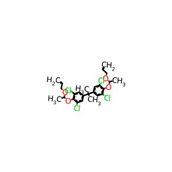 C=CCOC(C)Oc1c(Cl)cc(C(C)(C)c2cc(Cl)c(OC(C)OCC=C)c(Cl)c2)cc1Cl